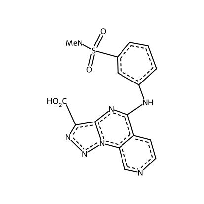 CNS(=O)(=O)c1cccc(Nc2nc3c(C(=O)O)nnn3c3cnccc23)c1